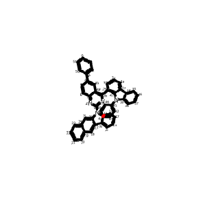 c1ccc(-c2ccc3nc(-n4c5ccccc5c5cc6ccccc6cc54)nc(-c4cccc5c6ccccc6n(-c6ccccc6)c45)c3c2)cc1